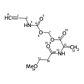 C#CCNC(=O)OCOC(=O)C(=C)NC(=O)CCOC